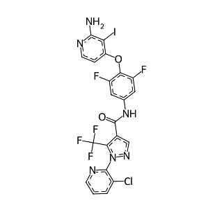 Nc1nccc(Oc2c(F)cc(NC(=O)c3cnn(-c4ncccc4Cl)c3C(F)(F)F)cc2F)c1I